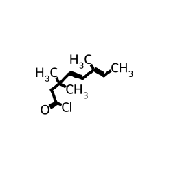 C/C=C(C)/C=C/C(C)(C)CC(=O)Cl